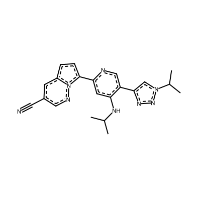 CC(C)Nc1cc(-c2ccc3cc(C#N)cnn23)ncc1-c1cn(C(C)C)nn1